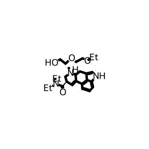 CCN(CC)C(=O)[C@@H]1C=C2c3cccc4[nH]cc(c34)C[C@H]2N(C)C1.CCOCCOCCO